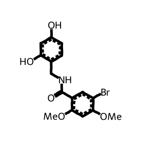 COc1cc(OC)c(C(=O)NCc2ccc(O)cc2O)cc1Br